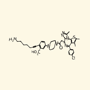 Cc1sc2c(c1C)C(c1ccc(Cl)cc1)=N[C@@H](CC(=O)N1CCN(c3ccc(C#CCCCCCN)c(C(=O)O)c3)CC1)c1nnc(C)n1-2